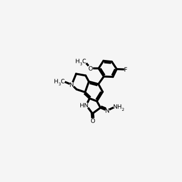 COc1ccc(F)cc1-c1cc2c(c3c1CCN(C)C3)NC(=O)/C2=N/N